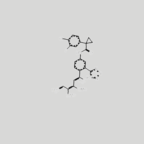 C=C/C(OC)=C(\C=C(/C)c1ccc(NC(=O)C2(c3ccc(Cl)c(F)c3)CC2)cc1-c1nnn[nH]1)OC